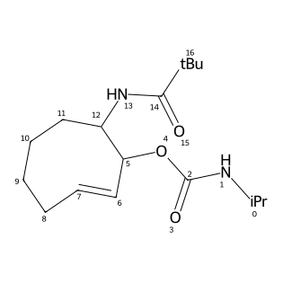 CC(C)NC(=O)OC1/C=C/CCCCC1NC(=O)C(C)(C)C